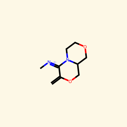 C=C1OCC2COCCN2/C1=N/C